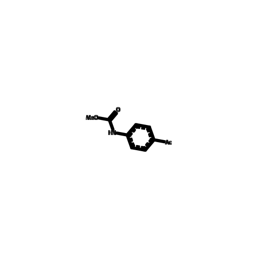 [CH2]OC(=O)Nc1ccc(C(C)=O)cc1